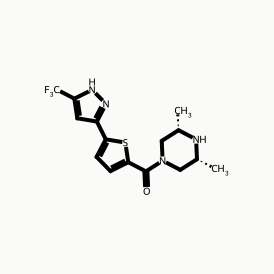 C[C@@H]1CN(C(=O)c2ccc(-c3cc(C(F)(F)F)[nH]n3)s2)C[C@H](C)N1